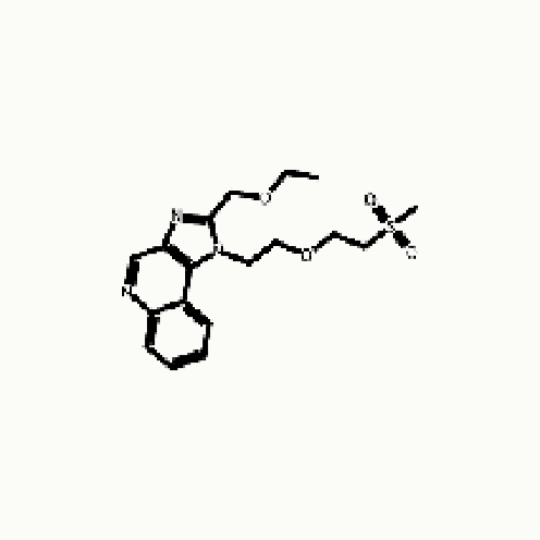 CCOCc1nc2cnc3ccccc3c2n1CCOCCS(C)(=O)=O